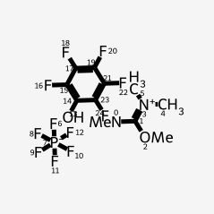 CNC(OC)=[N+](C)C.F[P-](F)(F)(F)(F)F.Oc1c(F)c(F)c(F)c(F)c1F